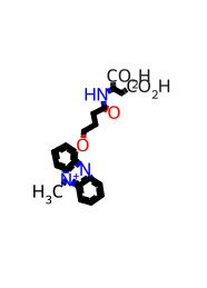 C[n+]1c2ccccc2nc2c(OCCCC(=O)NC(CC(=O)O)C(=O)O)cccc21